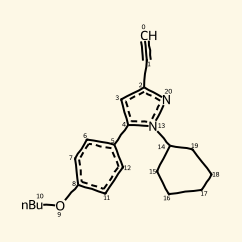 C#Cc1cc(-c2ccc(OCCCC)cc2)n(C2CCCCC2)n1